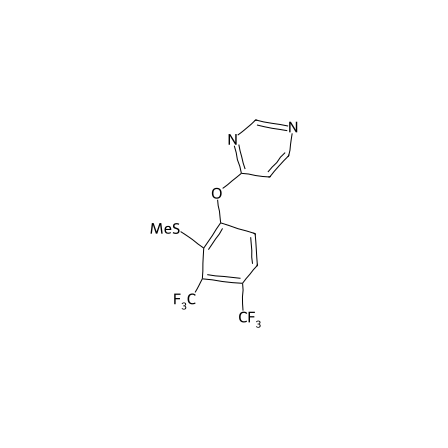 CSc1c(Oc2ccncn2)ccc(C(F)(F)F)c1C(F)(F)F